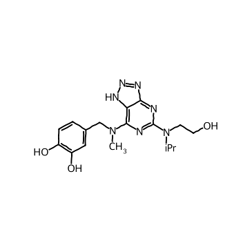 CC(C)N(CCO)c1nc(N(C)Cc2ccc(O)c(O)c2)c2[nH]nnc2n1